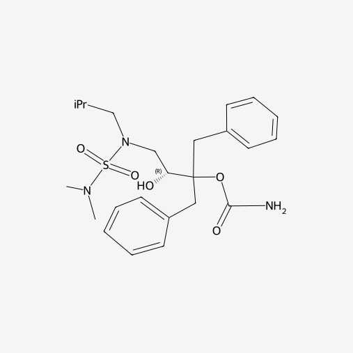 CC(C)CN(C[C@@H](O)C(Cc1ccccc1)(Cc1ccccc1)OC(N)=O)S(=O)(=O)N(C)C